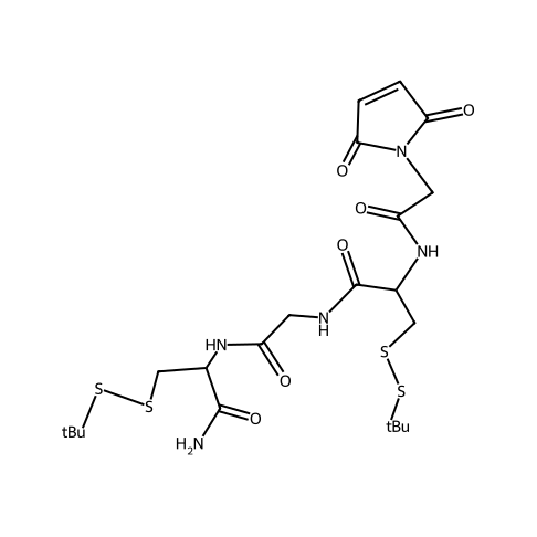 CC(C)(C)SSCC(NC(=O)CNC(=O)C(CSSC(C)(C)C)NC(=O)CN1C(=O)C=CC1=O)C(N)=O